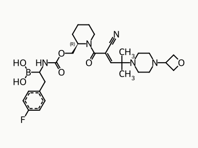 CC(C)(C=C(C#N)C(=O)N1CCCC[C@@H]1COC(=O)NC(Cc1ccc(F)cc1)B(O)O)N1CCN(C2COC2)CC1